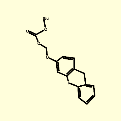 CC(C)(C)OC(=O)OCOc1ccc2c(c1)[I+]c1ccccc1C2